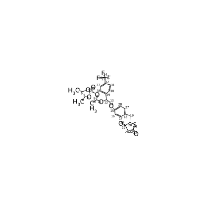 CCOP(=O)(OCC)OC(C)OC(COc1ccc(CC2SC(=O)CC2=O)cc1)c1ccc(C(F)(F)F)cc1